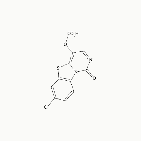 O=C(O)Oc1cnc(=O)n2c1sc1cc(Cl)ccc12